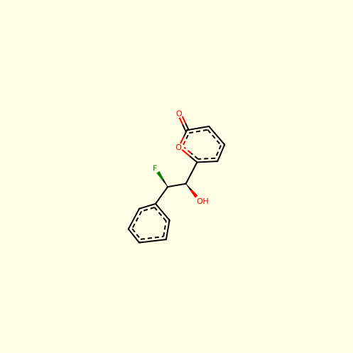 O=c1cccc([C@@H](O)[C@H](F)c2ccccc2)o1